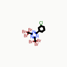 Clc1cccc(-c2nc(C(Br)(Br)Br)nc(C(Br)(Br)Br)n2)c1